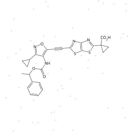 CC(OC(=O)Nc1c(C2CC2)noc1C#Cc1nc2nc(C3(C(=O)O)CC3)sc2s1)c1ccccc1